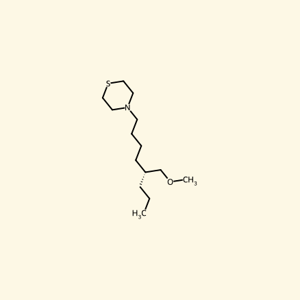 CCC[C@H](CCCCN1CCSCC1)COC